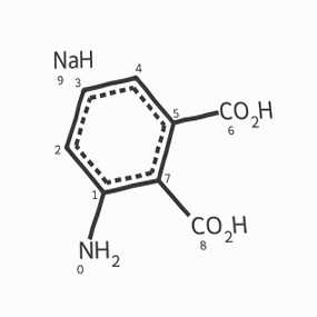 Nc1cccc(C(=O)O)c1C(=O)O.[NaH]